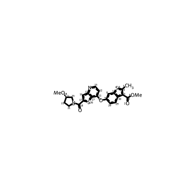 COC(=O)c1c(C)sc2cc(Oc3ccnc4cc(C(=O)N5CC[C@@H](OC)C5)sc34)ccc12